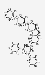 c1ccc(-c2nc(-c3ccccc3)nc(-c3ccc4sc5ccc(-c6ccc(-c7cccnc7)cn6)cc5c4c3)n2)cc1